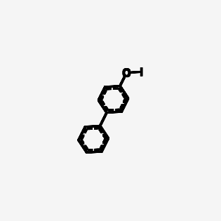 IOc1ccc(-c2ccccc2)cc1